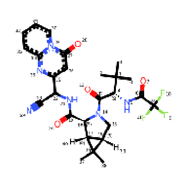 CC(C)(C)[C@H](NC(=O)C(F)(F)F)C(=O)N1C[C@H]2[C@@H]([C@H]1C(=O)NC(C#N)c1cc(=O)n3ccccc3n1)C2(C)C